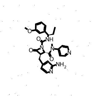 CC[C@@H](NC(=O)N1C(=O)[C@H](Cc2ccnc(N)c2)[C@H]1C(=O)N(C)c1ccncc1)c1cccc(OC)c1